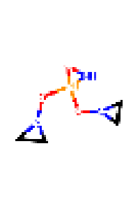 C1CN1O[PH]1(ON2CC2)NO1